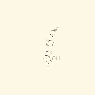 OC1(I)NCCc2nc(-c3ccc(N4CC[C@@H](F)C4)nc3)sc21